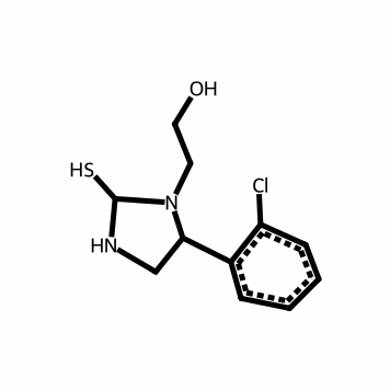 OCCN1C(S)NCC1c1ccccc1Cl